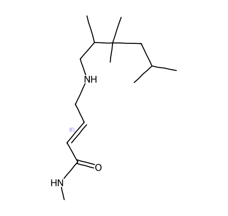 CNC(=O)/C=C/CNCC(C)C(C)(C)CC(C)C